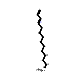 [CH]=C/C=C/CCCCCCCCCCCCCCCC